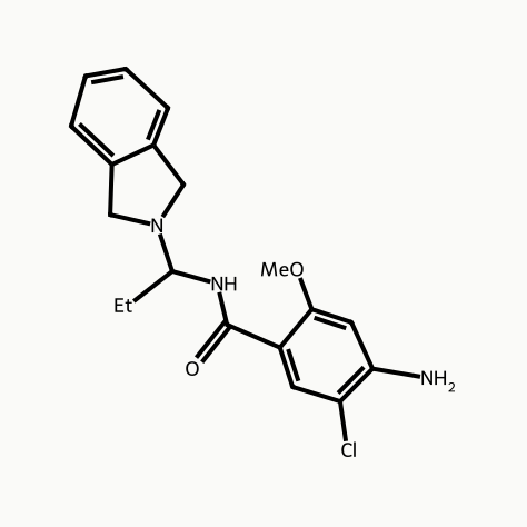 CCC(NC(=O)c1cc(Cl)c(N)cc1OC)N1Cc2ccccc2C1